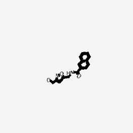 O=C(NCc1cc(CCl)no1)c1ccc2ccccc2c1